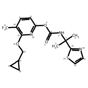 CC(C)(NC(=O)Oc1ccc(C(F)(F)F)c(OCC2CC2)n1)c1nccs1